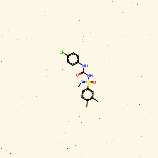 CN=S(=O)(NC(=O)Nc1ccc(Cl)cc1)c1ccc(C)c(C)c1